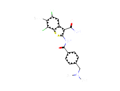 CCC(C)N(Cc1ccc(C(=O)Nc2sc3c(Cl)c(OC(C)=O)c(Cl)cc3c2C(N)=O)cc1)C(C)=O